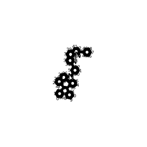 c1ccc(C2=C(c3ccccc3)c3cccc4c3c3c5c2cccc5ccc3n4-c2cccc(-c3ccc4ccc5ccc(-c6ccccc6)nc5c4n3)c2)cc1